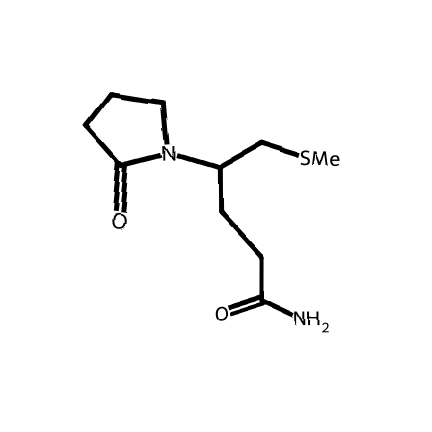 CSCC(CCC(N)=O)N1CCCC1=O